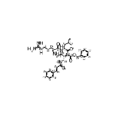 CC(C)C[C@H](NC(=O)[C@H](N)CCCNC(=N)N)C(=O)N(C(=O)OCc1ccccc1)[C@H](CNC(=O)/C=C/c1ccccc1)C(C)C